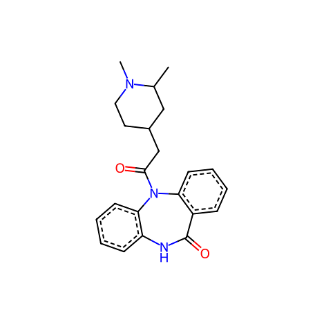 CC1CC(CC(=O)N2c3ccccc3NC(=O)c3ccccc32)CCN1C